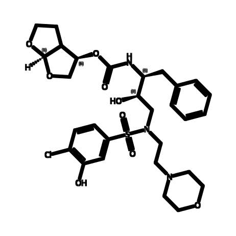 O=C(N[C@@H](Cc1ccccc1)[C@H](O)CN(CCN1CCOCC1)S(=O)(=O)c1ccc(Cl)c(O)c1)O[C@H]1CO[C@H]2OCCC21